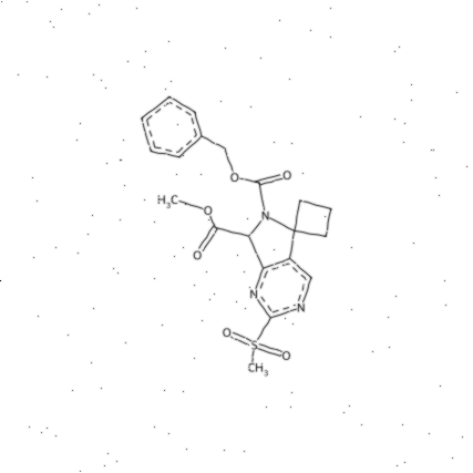 COC(=O)C1c2nc(S(C)(=O)=O)ncc2C2(CCC2)N1C(=O)OCc1ccccc1